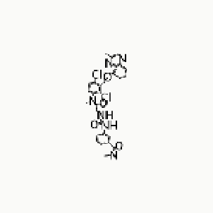 Cc1cnc2cccc(OCc3c(Cl)ccc(N(C)C(=O)CNC(=O)Nc4cccc(C(=O)N(C)C)c4)c3Cl)c2n1